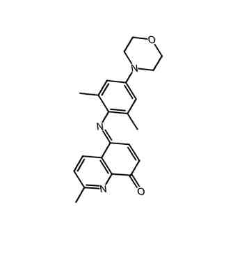 Cc1ccc2c(n1)C(=O)C=CC2=Nc1c(C)cc(N2CCOCC2)cc1C